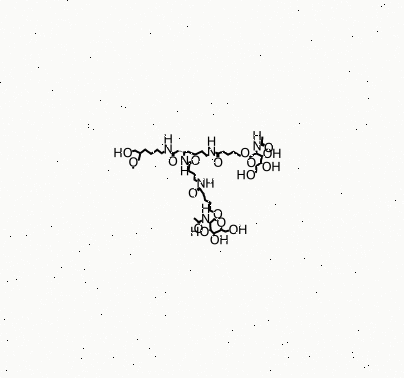 COCC(CO)CCCCNC(=O)C[C@H](CCCCNC(=O)CCCCO[C@@H]1OC(CO)[C@@H](O)[C@H](O)C1NC(C)=O)NC(=O)CCCNC(=O)CCCCO[C@@H]1OC(CO)[C@@H](O)[C@H](O)C1NC(C)=O